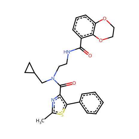 Cc1nc(C(=O)N(CCNC(=O)c2cccc3c2OCCO3)CC2CC2)c(-c2ccccc2)s1